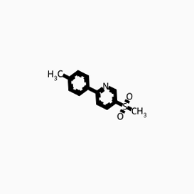 Cc1ccc(-c2ccc(S(C)(=O)=O)cn2)cc1